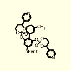 CCCCCc1cc(OP2(=O)OCCC(c3ccncc3)O2)c(C2C=C(C)CCC2)c(OP2(=O)OCCC(c3ccncc3)O2)c1